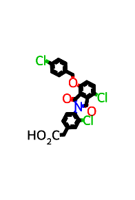 O=C(O)Cc1ccc(N2C(=O)c3c(Cl)ccc(OCc4ccc(Cl)cc4)c3C2=O)c(Cl)c1